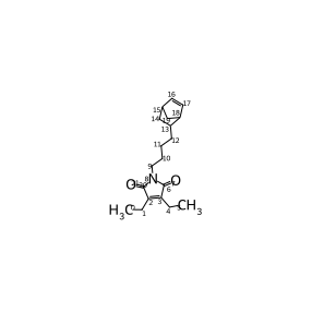 CCC1=C(CC)C(=O)N(CCCCC2CC3C=CC2C3)C1=O